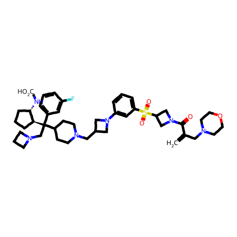 C=C(CN1CCOCC1)C(=O)N1CC(S(=O)(=O)c2cccc(N3CC(CN4CCC(C(CN5CCC5)(c5cccc(F)c5)[C@H]5CCC[C@@H]5NC(=O)O)CC4)C3)c2)C1